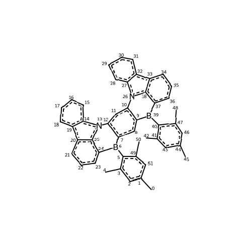 Cc1cc(C)c(B2c3cc4c(cc3-n3c5ccccc5c5cccc2c53)-n2c3ccccc3c3cccc(c32)B4c2c(C)cc(C)cc2C)c(C)c1